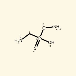 NCP(O)(=S)ON